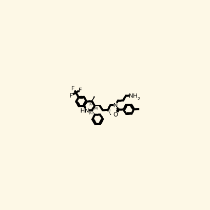 Cc1ccc(C(=O)N(CCCN)C[C@H](C)CC[C@@H]2[C@H](C)c3cc(C(F)(F)F)ccc3N[C@H]2C2C=CC=CC2)cc1